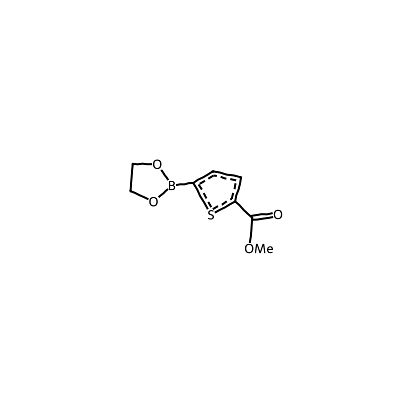 COC(=O)c1ccc(B2OCCO2)s1